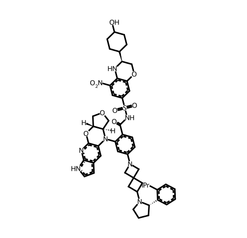 CC(C)c1ccccc1[C@@H]1CCCN1C1CC2(C1)CN(c1ccc(C(=O)NS(=O)(=O)c3cc4c(c([N+](=O)[O-])c3)N[C@@H](C3CCC(O)CC3)CO4)c(N3c4cc5cc[nH]c5nc4O[C@@H]4COC[C@H]43)c1)C2